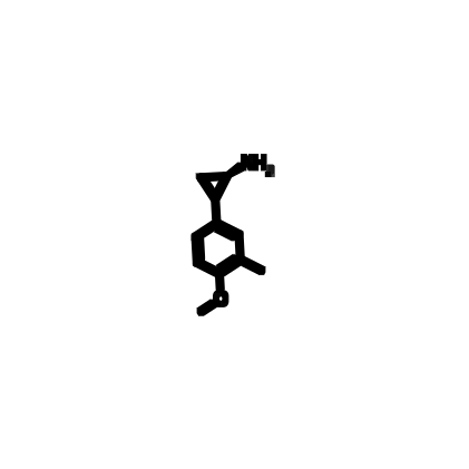 COc1ccc(C2C[C@H]2N)cc1C